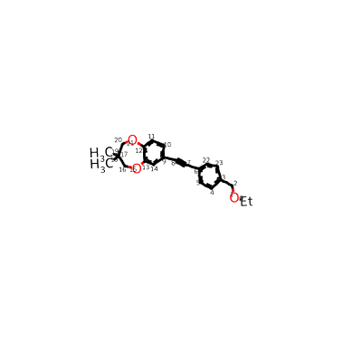 CCOCc1ccc(C#Cc2ccc3c(c2)OCC(C)(C)CO3)cc1